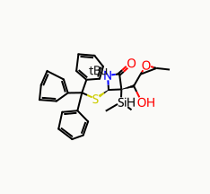 CC1OC1C(O)[C@]1([SiH](C)C)C(=O)N(C(C)(C)C)[C@@H]1SC(c1ccccc1)(c1ccccc1)c1ccccc1